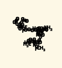 CC[C@@]1(O)C(=O)OCc2c1cc1n(c2=O)Cc2c-1nc1cc(F)c(C)c3c1c2[C@@H](NC(=O)OCc1ccc(NC(=O)C(CCCNC(N)=O)NC(=O)[C@@H](NC(=O)COCCOCCOCCOc2c(F)cc(N4C(=O)C(Sc5ccc(C(=O)N6CCOCC6)cc5)=C(Sc5ccc(C(=O)N6CCOCC6)cc5)C4=O)cc2F)C(C)C)cc1)CC3